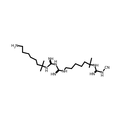 CC(C)(CCCCCNC(=N)NC(=N)NC(C)(C)CCCCCCN)NC(=N)NC#N